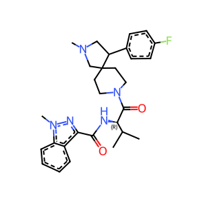 CC(C)[C@@H](NC(=O)c1nn(C)c2ccccc12)C(=O)N1CCC2(CC1)CN(C)CC2c1ccc(F)cc1